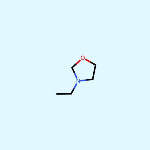 [CH2]CN1CCOC1